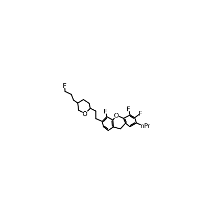 CCCc1cc2c(c(F)c1F)Oc1c(ccc(CCC3CCC(CCCF)CO3)c1F)C2